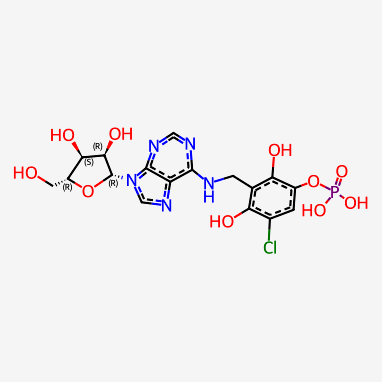 O=P(O)(O)Oc1cc(Cl)c(O)c(CNc2ncnc3c2ncn3[C@@H]2O[C@H](CO)[C@@H](O)[C@H]2O)c1O